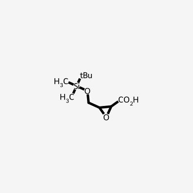 CC(C)(C)[Si](C)(C)OCC1OC1C(=O)O